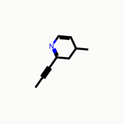 CC#CC1=NC=CC(C)C1